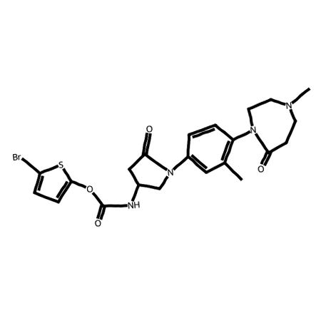 Cc1cc(N2CC(NC(=O)Oc3ccc(Br)s3)CC2=O)ccc1N1CCN(C)CCC1=O